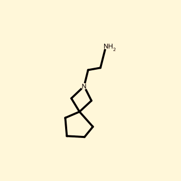 NCCN1CC2(CCCC2)C1